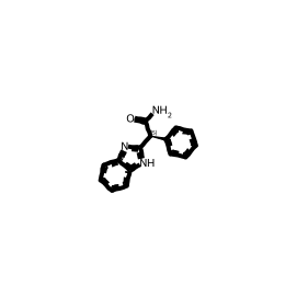 NC(=O)[C@@H](c1ccccc1)c1nc2ccccc2[nH]1